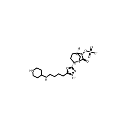 O=C1N2C[C@@H](CC[C@H]2c2nnc(CCCCNC3CCNCC3)o2)N1OS(=O)(=O)[O-].[H+]